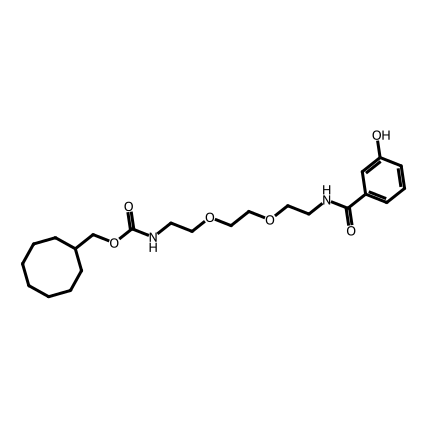 O=C(NCCOCCOCCNC(=O)c1cccc(O)c1)OCC1CCCCCCC1